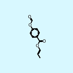 CC=COC(=O)c1ccc(OC=O)cc1